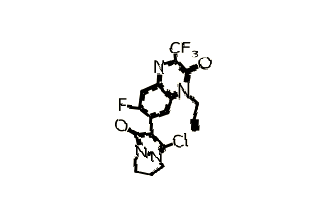 C#CCn1c(=O)c(C(F)(F)F)nc2cc(F)c(-c3c(Cl)n4n(c3=O)CCCC4)cc21